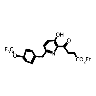 CCOC(=O)CCC(=O)c1nc(Cc2ccc(OC(F)(F)F)cc2)ccc1O